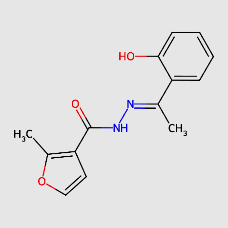 C/C(=N\NC(=O)c1ccoc1C)c1ccccc1O